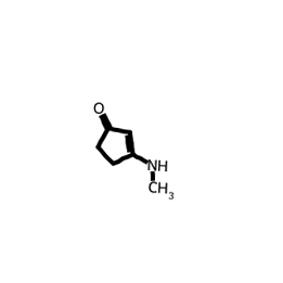 CNC1=CC(=O)CC1